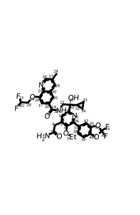 CCOc1c(CC(N)=O)cc([C@@](O)(CNC(=O)c2cc(OCC(F)F)c3ncc(C)cc3c2)C2CC2)nc1-c1ccc2c(c1)OC(F)(F)O2